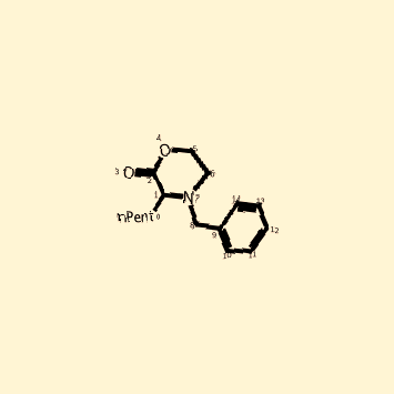 CCCCCC1C(=O)OCCN1Cc1ccccc1